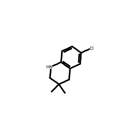 CC1(C)[CH]Nc2ccc(Cl)cc2C1